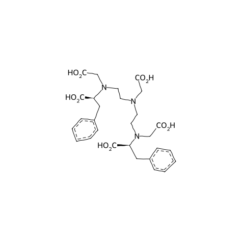 O=C(O)CN(CCN(CC(=O)O)[C@@H](Cc1ccccc1)C(=O)O)CCN(CC(=O)O)[C@@H](Cc1ccccc1)C(=O)O